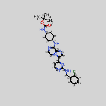 CC(C)(C)OC(=O)N[C@H]1CC[C@H](Nc2nccn3c(-c4ccnc(NCc5ccccc5Cl)n4)cnc23)CC1